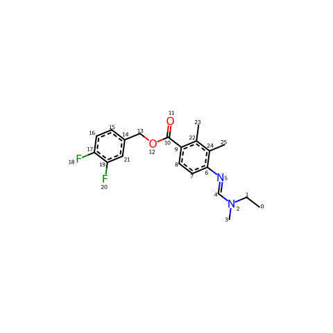 CCN(C)/C=N/c1ccc(C(=O)OCc2ccc(F)c(F)c2)c(C)c1C